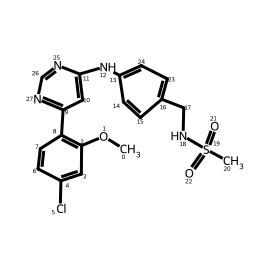 COc1cc(Cl)ccc1-c1cc(Nc2ccc(CNS(C)(=O)=O)cc2)ncn1